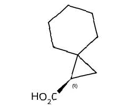 O=C(O)[C@@H]1CC12CCCCC2